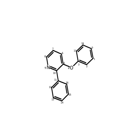 c1ccc(Oc2cccnc2-c2ccccc2)cc1